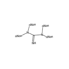 CCCCCCCCCN(CCCCCCCCC)C(=N)N(CCCCCCCCC)CCCCCCCCC